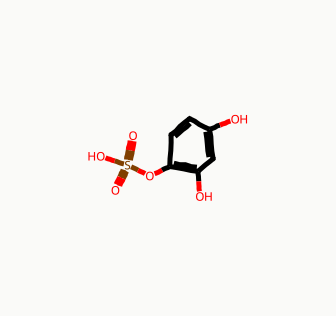 O=S(=O)(O)Oc1ccc(O)cc1O